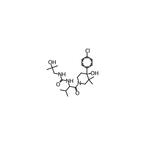 CC(C)C(NC(=O)NCC(C)(C)O)C(=O)N1CC[C@](O)(c2ccc(Cl)cc2)C(C)(C)C1